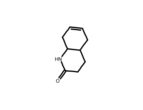 O=C1CCC2CC=CCC2N1